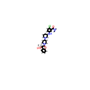 CN(C)C(=O)c1cc(N[C@@H]2CCCN(C3CCN(C(=O)[C@](O)(c4ccccc4)C(F)(F)F)CC3)C2)ccc1Cl